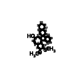 COC1=CC2C#CC(O)/C=C3\C(=C/2C=C1SC)c1ccccc1C31CCC2(CCCCC2)CC1